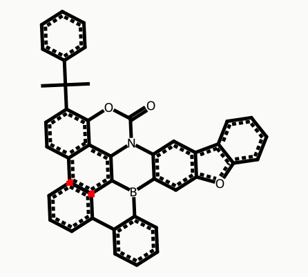 CC(C)(c1ccccc1)c1ccc2ccc3c4c2c1OC(=O)N4c1cc2c(cc1B3c1ccccc1-c1ccccc1)oc1ccccc12